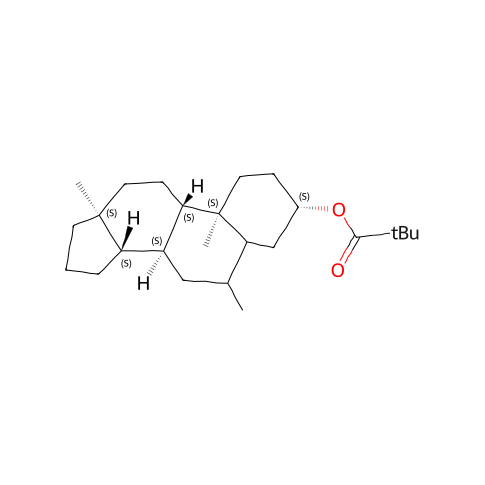 CC1C[C@H]2[C@@H]3CCC[C@@]3(C)CC[C@@H]2[C@@]2(C)CC[C@H](OC(=O)C(C)(C)C)CC12